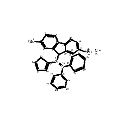 CC(C)(C)c1ccc2c(c1)[CH]([Zr]([C]1=CC=CC1)=[Si](c1ccccc1)c1ccccc1)c1cc(C(C)(C)C)ccc1-2.Cl.Cl